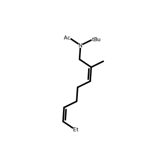 CC/C=C\CC/C=C(/C)CN(C(C)=O)C(C)(C)C